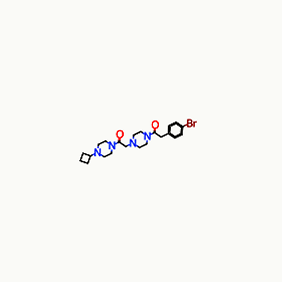 O=C(Cc1ccc(Br)cc1)N1CCN(CC(=O)N2CCN(C3CCC3)CC2)CC1